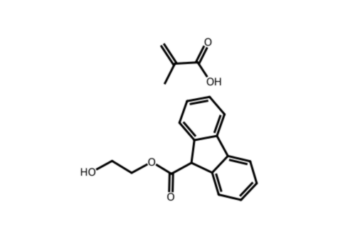 C=C(C)C(=O)O.O=C(OCCO)C1c2ccccc2-c2ccccc21